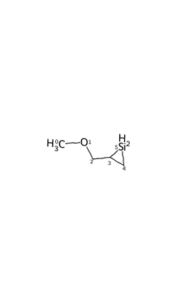 COCC1C[SiH2]1